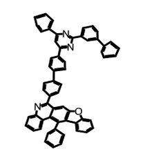 c1ccc(-c2cccc(-c3nc(-c4ccccc4)cc(-c4ccc(-c5ccc(-c6nc7ccccc7c7c(-c8ccccc8)c8c(cc67)oc6ccccc68)cc5)cc4)n3)c2)cc1